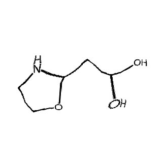 OC(O)CC1NCCO1